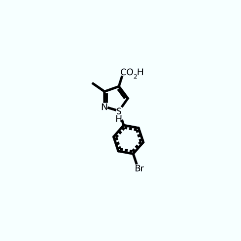 CC1=N[SH](c2ccc(Br)cc2)C=C1C(=O)O